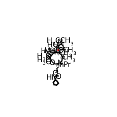 CCCN1C[C@H](C)C[C@@](C)(OC)[C@H](O[C@@H]2O[C@H](C)C[C@H](N(C)C)[C@H]2O)[C@@H](C)C(=O)C(C)(C)C(=O)OC[C@H]1CCCOC(=O)Nc1ccccc1